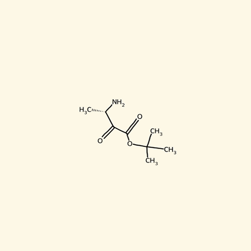 C[C@H](N)C(=O)C(=O)OC(C)(C)C